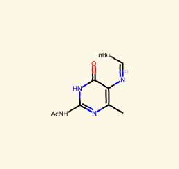 CCCC/C=N\c1c(C)nc(NC(C)=O)[nH]c1=O